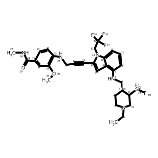 CCN1CC[C@@H](CNc2cccc3c2cc(C#CCNc2ccc(C(=O)NC)cc2OC)n3CC(F)(F)F)C([SiH2]F)C1